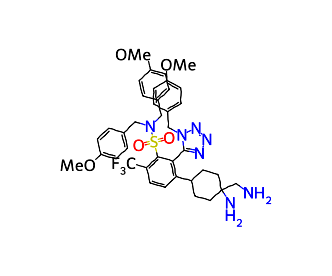 COc1ccc(CN(Cc2ccc(OC)cc2)S(=O)(=O)c2c(C(F)(F)F)ccc(C3CCC(N)(CN)CC3)c2-c2nnnn2Cc2ccc(OC)cc2)cc1